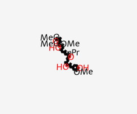 CCCC(/C=C(\C)CC(C)CC(OC)C(O)C(CC(C)C(=O)OC)OC)C(=O)CCC(C)C(O)/C(C)=C/C1CCC(O)C(OC)C1